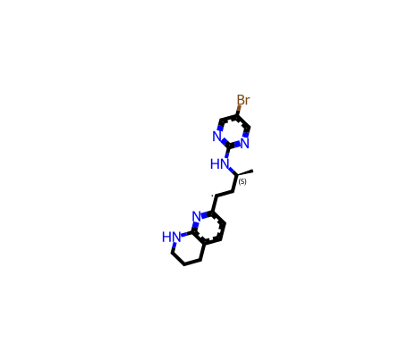 C[C@@H](C[CH]c1ccc2c(n1)NCCC2)Nc1ncc(Br)cn1